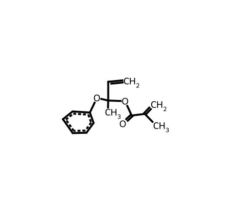 C=CC(C)(OC(=O)C(=C)C)Oc1ccccc1